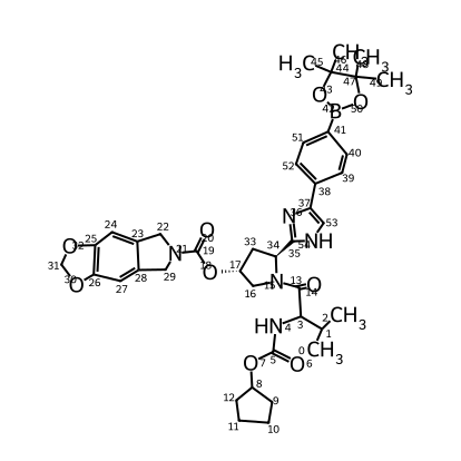 CC(C)C(NC(=O)OC1CCCC1)C(=O)N1C[C@H](OC(=O)N2Cc3cc4c(cc3C2)OCO4)C[C@H]1c1nc(-c2ccc(B3OC(C)(C)C(C)(C)O3)cc2)c[nH]1